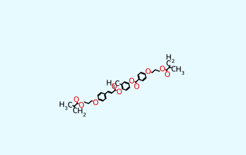 C=C(C)C(=O)OCCCOc1ccc(/C=C/C(=O)Oc2ccc(OC(=O)c3ccc(OCCCOC(=O)C(=C)C)cc3)cc2C)cc1